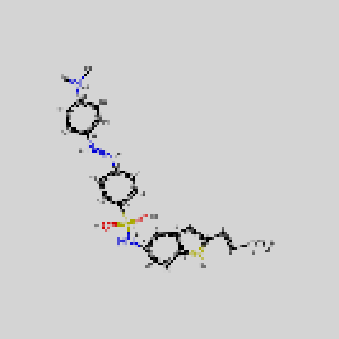 CCOC(=O)/C=C/c1cc2cc(NS(=O)(=O)c3ccc(/N=N/c4ccc(N(C)C)cc4)cc3)ccc2s1